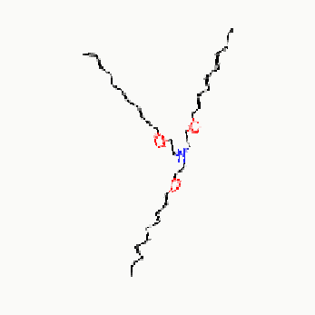 CCCCCCCCCCOCCN(CCOCCCCCCCCCC)CCOCCCCCCCCCC